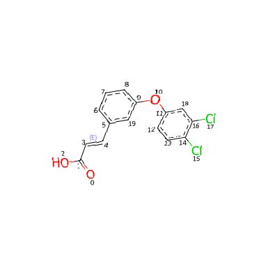 O=C(O)/C=C/c1cccc(Oc2ccc(Cl)c(Cl)c2)c1